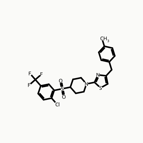 Cc1ccc(Cc2csc(N3CCC(S(=O)(=O)c4cc(C(F)(F)F)ccc4Cl)CC3)n2)cc1